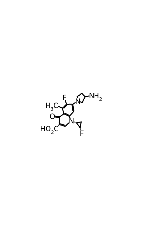 Cc1c(F)c(N2CCC(N)C2)cc2c1c(=O)c(C(=O)O)cn2[C@@H]1C[C@@H]1F